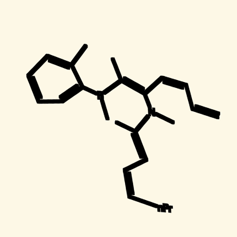 C=C/C=C\C(=C(/C)B(C)c1ccccc1C)N(C)/C(C)=C/C=C\CCC